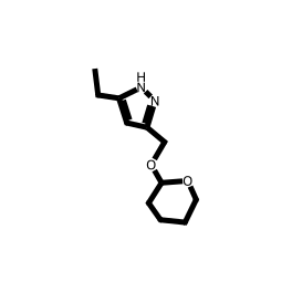 CCc1cc(COC2CCCCO2)n[nH]1